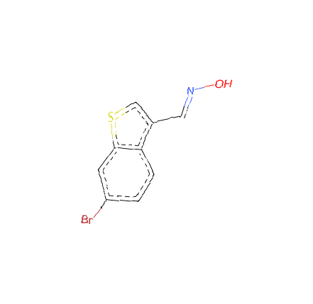 O/N=C/c1csc2cc(Br)ccc12